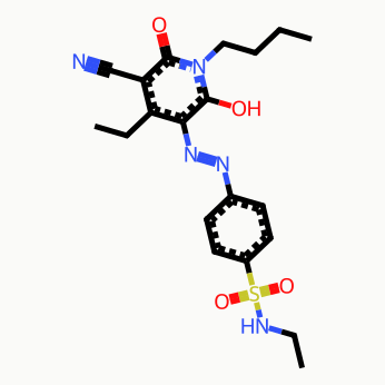 CCCCn1c(O)c(/N=N/c2ccc(S(=O)(=O)NCC)cc2)c(CC)c(C#N)c1=O